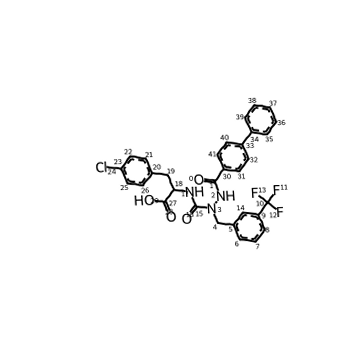 O=C(NN(Cc1cccc(C(F)(F)F)c1)C(=O)NC(Cc1ccc(Cl)cc1)C(=O)O)c1ccc(-c2ccccc2)cc1